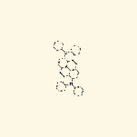 C1=CCCC(N(c2ccccc2)c2ccc3c4c5c(ccc24)C=CC(N(C2=CCCCC2)C2C=CC=CC2)C5C=C3)=C1